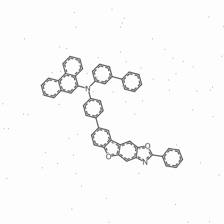 c1ccc(-c2cccc(N(c3ccc(-c4ccc5oc6cc7nc(-c8ccccc8)oc7cc6c5c4)cc3)c3cc4ccccc4c4ccccc34)c2)cc1